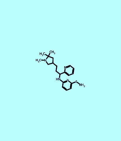 CN1CC(CCC(Nc2cccc(SN)n2)c2ccccn2)CC1(C)C